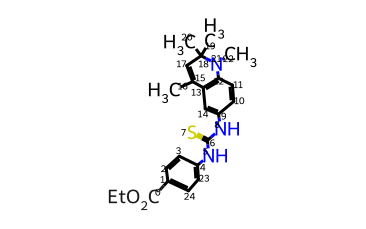 CCOC(=O)c1ccc(NC(=S)Nc2ccc3c(c2)C(C)=CC(C)(C)N3C)cc1